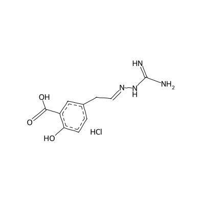 Cl.N=C(N)NN=CCc1ccc(O)c(C(=O)O)c1